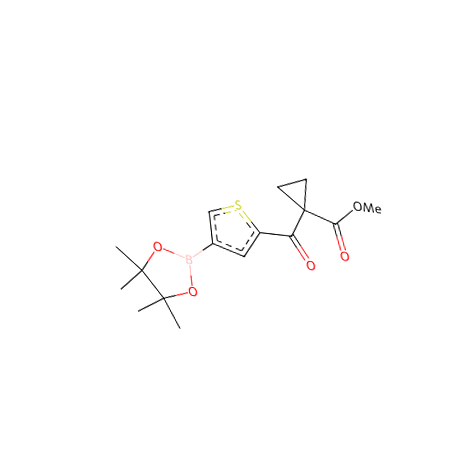 COC(=O)C1(C(=O)c2cc(B3OC(C)(C)C(C)(C)O3)cs2)CC1